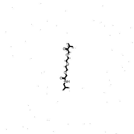 CC(C)CNC(=O)COCCOCCOCC(=O)C(C)C